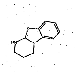 c1ccc2c(c1)SC1NCCCN21